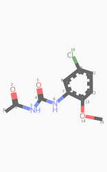 [CH2]C(=O)NC(=O)Nc1cc(Cl)ccc1OC